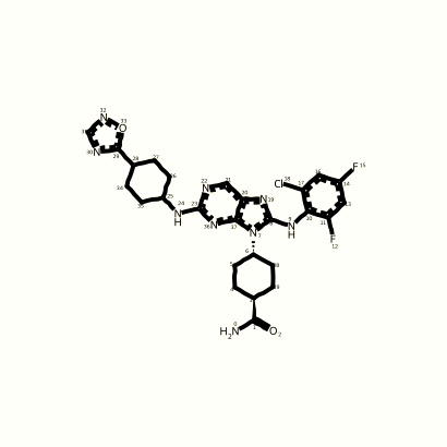 NC(=O)[C@H]1CC[C@H](n2c(Nc3c(F)cc(F)cc3Cl)nc3cnc(NC4CCC(c5ncno5)CC4)nc32)CC1